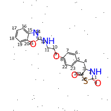 O=C1NC(Cc2ccc(OCCNc3nc4ccccc4o3)cc2)C(=O)S1